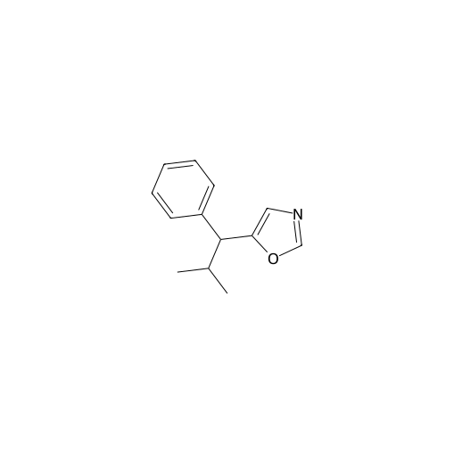 CC(C)C(c1ccccc1)c1cnco1